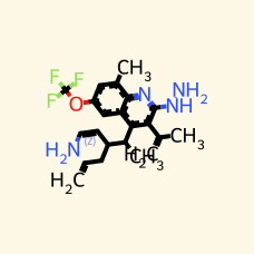 C=CCC(/C=C\N)C(C)c1c(C(=C)C)c(NN)nc2c(C)cc(OC(F)(F)F)cc12